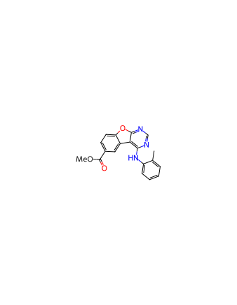 COC(=O)c1ccc2oc3ncnc(Nc4ccccc4C)c3c2c1